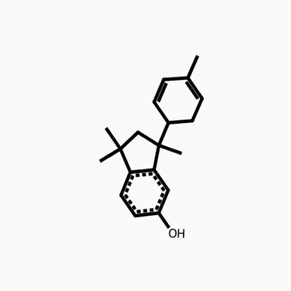 CC1=CCC(C2(C)CC(C)(C)c3ccc(O)cc32)C=C1